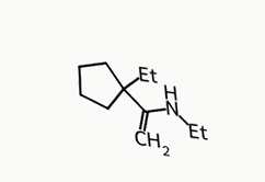 C=C(NCC)C1(CC)CCCC1